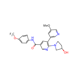 COc1cncc(-c2cc(C(=O)Nc3ccc(OC(F)(F)F)cc3)cnc2N2CC[C@@H](O)C2)c1